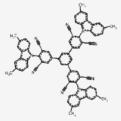 Cc1ccc2c(c1)c1cc(C)ccc1n2-c1c(C#N)cc(-c2cc(-c3cc(C#N)c(-n4c5ccc(C)cc5c5cc(C)ccc54)c(C#N)c3)cc(-c3cc(C#N)c(-n4c5ccc(C)cc5c5cc(C)ccc54)c(C#N)c3)c2)cc1C#N